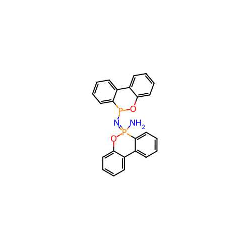 NP1(=NP2Oc3ccccc3-c3ccccc32)Oc2ccccc2-c2ccccc21